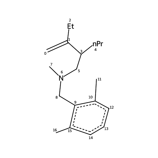 C=C(CC)C(CCC)CN(C)Cc1c(C)cccc1C